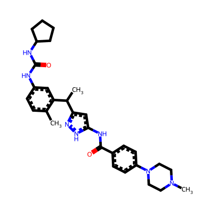 Cc1ccc(NC(=O)NC2CCCC2)cc1C(C)c1cc(NC(=O)c2ccc(N3CCN(C)CC3)cc2)[nH]n1